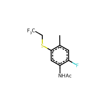 CC(=O)Nc1cc(SCC(F)(F)F)c(C)cc1F